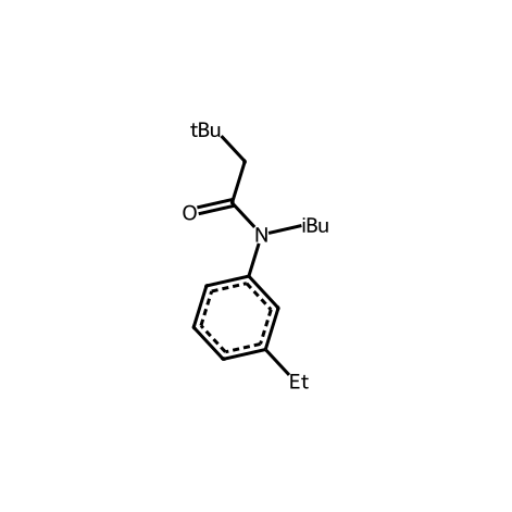 CCc1cccc(N(C(=O)CC(C)(C)C)C(C)CC)c1